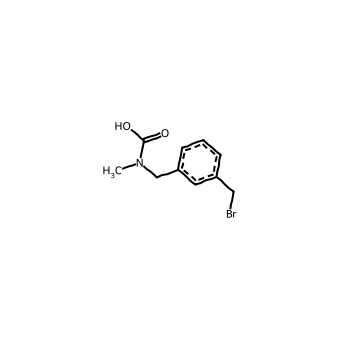 CN(Cc1cccc(CBr)c1)C(=O)O